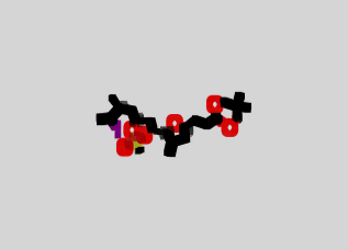 C=C1C[C@H](CCC2OCC(C)(C)CO2)O[C@H]1CC[C@H](C[C@H](C)C(=C)I)OS(C)(=O)=O